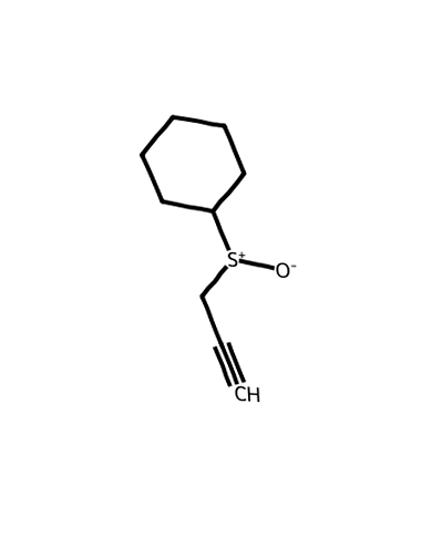 C#CC[S+]([O-])C1CCCCC1